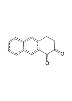 O=C1CCc2cc3ccccc3cc2C1=O